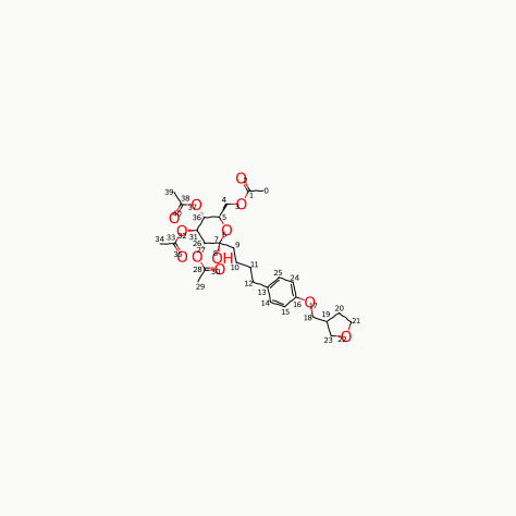 CC(=O)OC[C@H]1O[C@](O)(CCCCc2ccc(OCC3CCOC3)cc2)[C@H](OC(C)=O)[C@@H](OC(C)=O)[C@@H]1OC(C)=O